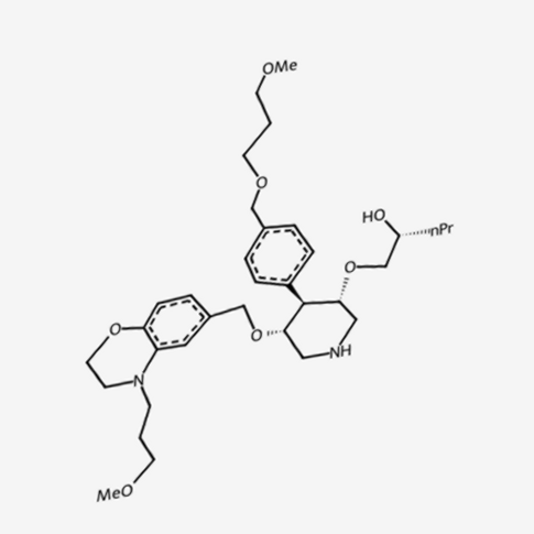 CCC[C@@H](O)CO[C@@H]1CNC[C@H](OCc2ccc3c(c2)N(CCCOC)CCO3)[C@H]1c1ccc(COCCCOC)cc1